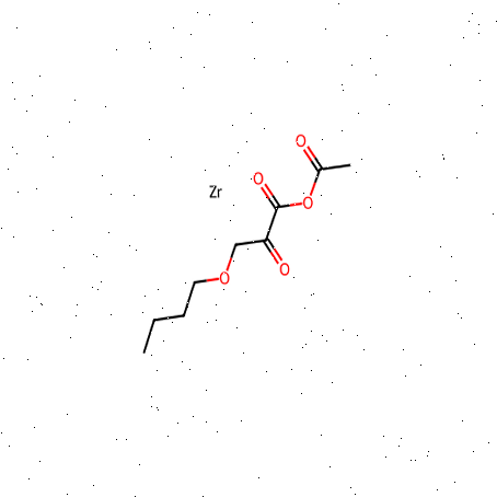 CCCCOCC(=O)C(=O)OC(C)=O.[Zr]